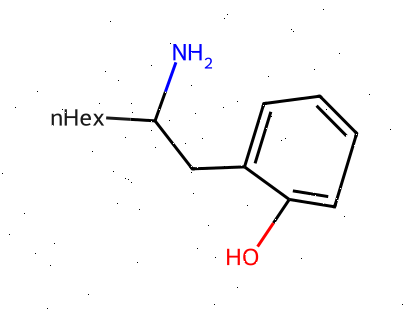 CCCCCCC(N)Cc1ccccc1O